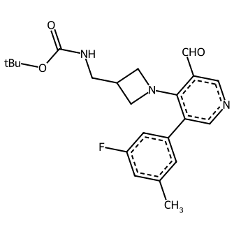 Cc1cc(F)cc(-c2cncc(C=O)c2N2CC(CNC(=O)OC(C)(C)C)C2)c1